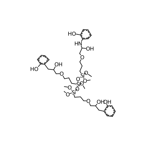 CO[Si](CCCOCC(O)Cc1ccccc1O)(OC)O[Si](CCCOCC(O)Cc1ccccc1O)(OC)O[Si](CCCOCC(O)Nc1ccccc1O)(OC)OC